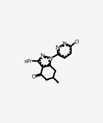 CCCc1nn(-c2ccc(Cl)nn2)c2c1C(=O)CC(C)C2